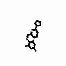 Cc1cc(C)c(/N=C\c2cccc(C3=CC=CC3)n2)c(C)c1